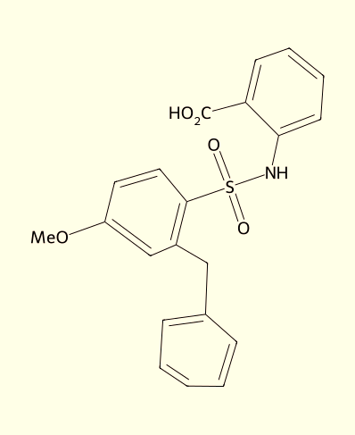 COc1ccc(S(=O)(=O)Nc2ccccc2C(=O)O)c(Cc2ccccc2)c1